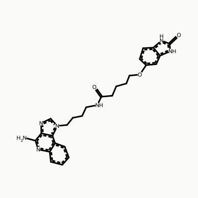 Nc1nc2ccccc2c2c1ncn2CCCCNC(=O)CCCCOc1ccc2[nH]c(=O)[nH]c2c1